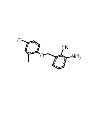 Cc1cc(Cl)ccc1OCc1cccc(N)c1C#N